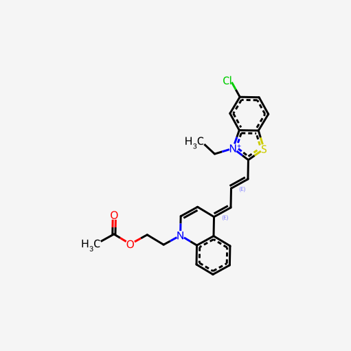 CC[n+]1c(/C=C/C=C2\C=CN(CCOC(C)=O)c3ccccc32)sc2ccc(Cl)cc21